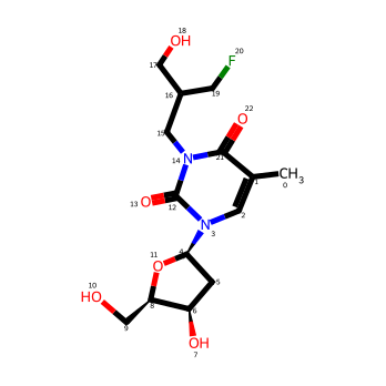 Cc1cn([C@H]2C[C@@H](O)[C@@H](CO)O2)c(=O)n(CC(CO)CF)c1=O